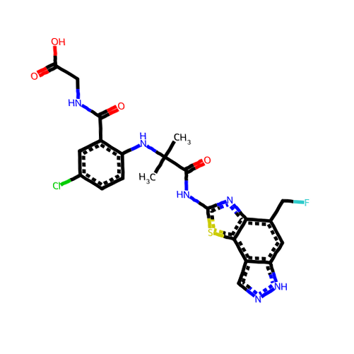 CC(C)(Nc1ccc(Cl)cc1C(=O)NCC(=O)O)C(=O)Nc1nc2c(CF)cc3[nH]ncc3c2s1